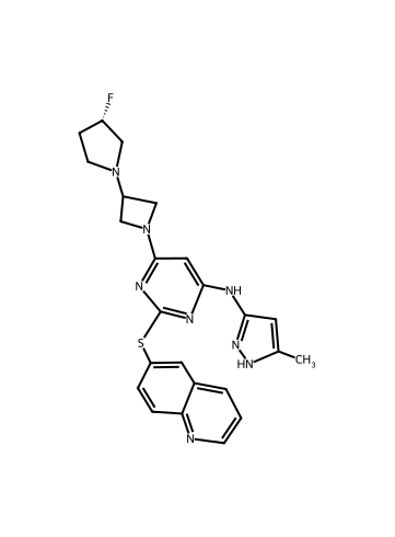 Cc1cc(Nc2cc(N3CC(N4CC[C@H](F)C4)C3)nc(Sc3ccc4ncccc4c3)n2)n[nH]1